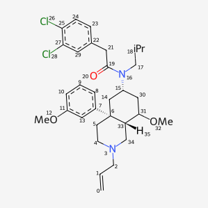 C=CCN1CC[C@@]2(c3cccc(OC)c3)C[C@H](N(CC(C)C)C(=O)Cc3ccc(Cl)c(Cl)c3)CC(OC)[C@@H]2C1